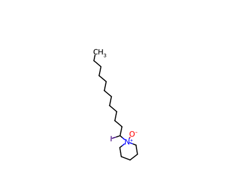 CCCCCCCCCCCC(I)[N+]1([O-])CCCCC1